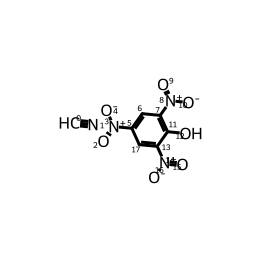 C#N.O=[N+]([O-])c1cc([N+](=O)[O-])c(O)c([N+](=O)[O-])c1